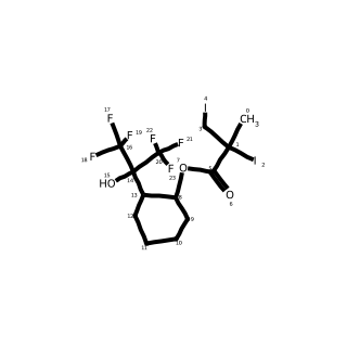 CC(I)(CI)C(=O)OC1CCCCC1C(O)(C(F)(F)F)C(F)(F)F